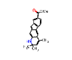 COC(=O)c1ccc2c(c1)C=C1C=C3NC(C)(C)C=C(C)C3C=C12